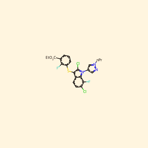 CCCn1cc(-n2c(Cl)c(Sc3cccc(C(=O)OCC)c3F)c3ccc(Cl)c(F)c32)cn1